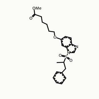 COC(=O)CCCCCOc1ccc2ncn(S(=O)(=O)C(C)Cc3ccccc3)c2c1